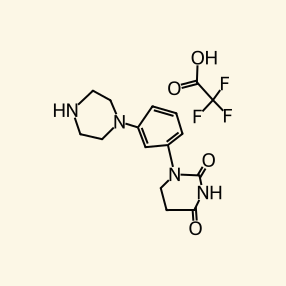 O=C(O)C(F)(F)F.O=C1CCN(c2cccc(N3CCNCC3)c2)C(=O)N1